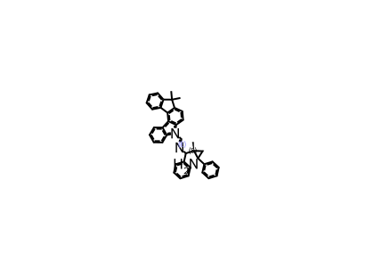 CC1(C)c2ccccc2-c2c1ccc1c2c2ccccc2n1/C=N/C(c1ccccc1)[C@]1(C)CC1(N)c1ccccc1